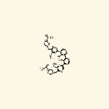 COc1nc(-c2cccc(-c3cccc(-c4cnc(CN5CC[C@@H](C(N)=O)C5)c(OC)n4)c3Cl)c2Cl)cnc1CN1CC[C@@H](C(N)=O)C1